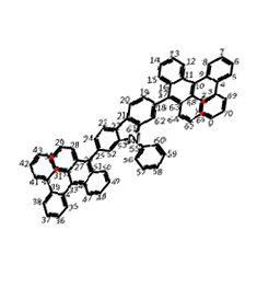 c1ccc(-c2ccccc2-c2c3ccccc3c(-c3ccc4c5ccc(-c6c7ccccc7c(-c7ccccc7-c7ccccc7)c7ccccc67)cc5n(-c5ccccc5)c4c3)c3ccccc23)cc1